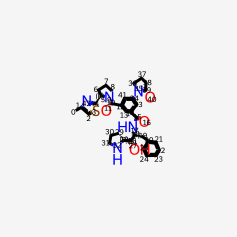 Cc1csc([C@H]2CCCN2C(=O)c2cc(C(=O)N[C@@H](Cc3ccccc3)[C@@H](O)[C@H]3CCCN3)cc(N3CCCC3=O)c2)n1